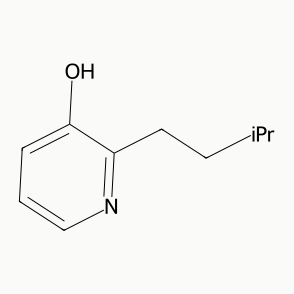 CC(C)CCc1ncccc1O